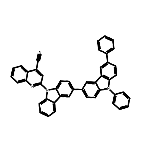 N#Cc1cc(-n2c3ccccc3c3cc(-c4ccc5c(c4)c4cc(-c6ccccc6)ccc4n5-c4ccccc4)ccc32)nc2ccccc12